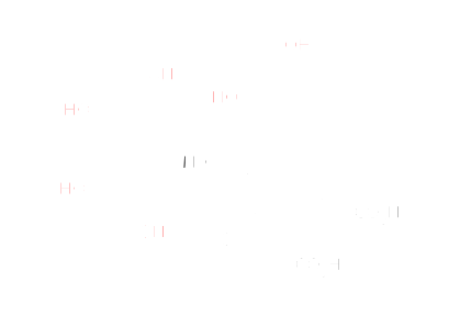 Cc1c(C(=O)O)c(C(=O)O)c2ccc(O)c(O)c2c1C.Oc1ccc(O)c(O)c1O